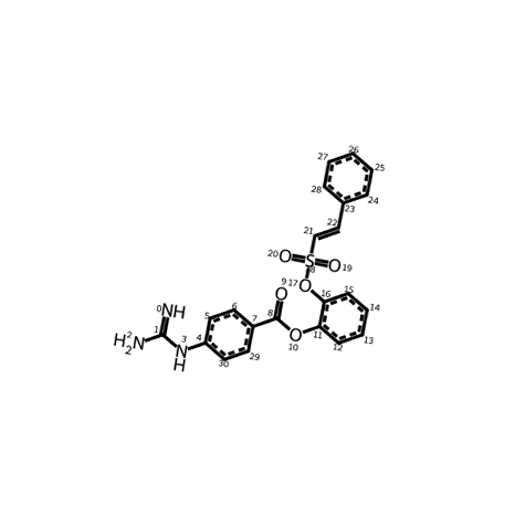 N=C(N)Nc1ccc(C(=O)Oc2ccccc2OS(=O)(=O)/C=C/c2ccccc2)cc1